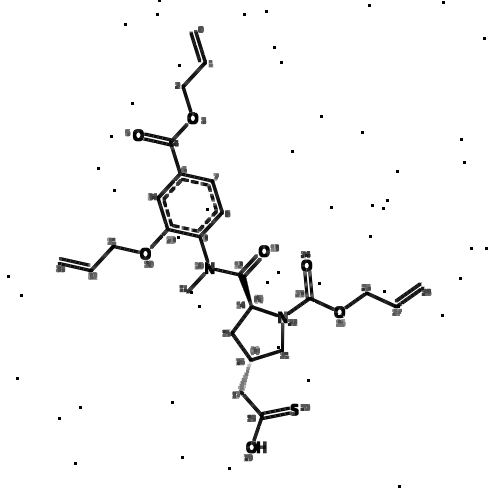 C=CCOC(=O)c1ccc(N(C)C(=O)[C@@H]2C[C@@H](CC(O)=S)CN2C(=O)OCC=C)c(OCC=C)c1